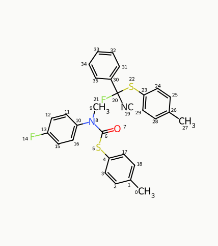 Cc1ccc(SC(=O)N(C)c2ccc(F)cc2)cc1.[C-]#[N+]C(F)(Sc1ccc(C)cc1)c1ccccc1